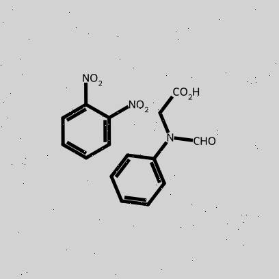 O=CN(CC(=O)O)c1ccccc1.O=[N+]([O-])c1ccccc1[N+](=O)[O-]